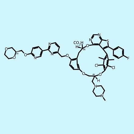 Cc1c(Cl)c2c(Cl)c(C)c1-c1c(-c3ccc(F)cc3)sc3ncnc(c13)O[C@@H](C(=O)O)Cc1cc(ccc1OCc1ccnc(-c3ccc(OC[C@@H]4COCCO4)nc3)n1)OC[C@@H](CN1CCN(C)CC1)O2